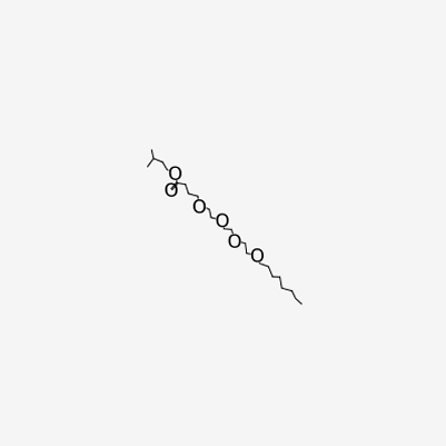 CCCCCCCCOCCOCCOCCOCCCC(=O)OCCC(C)C